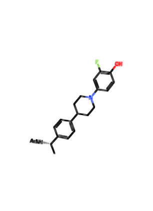 CC(=O)N[C@@H](C)c1ccc(C2CCN(c3ccc(O)c(F)c3)CC2)cc1